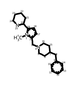 Cn1c(CN2CCC(Cc3ccccc3)CC2)ccc1C1CCCC[N]1